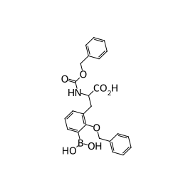 O=C(NC(Cc1cccc(B(O)O)c1OCc1ccccc1)C(=O)O)OCc1ccccc1